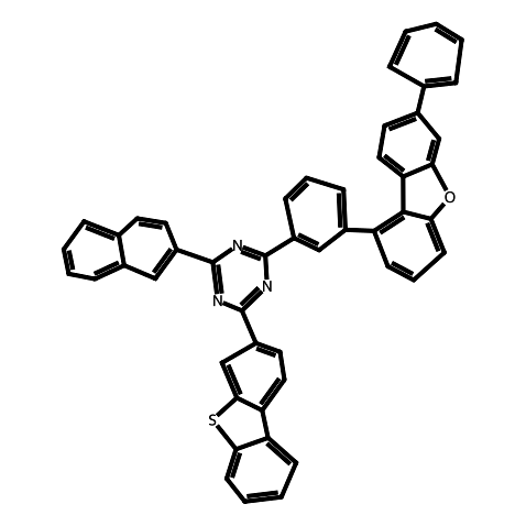 c1ccc(-c2ccc3c(c2)oc2cccc(-c4cccc(-c5nc(-c6ccc7ccccc7c6)nc(-c6ccc7c(c6)sc6ccccc67)n5)c4)c23)cc1